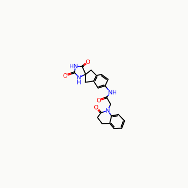 O=C(CN1C(=O)CCc2ccccc21)Nc1ccc2c(c1)CC1(C2)NC(=O)NC1=O